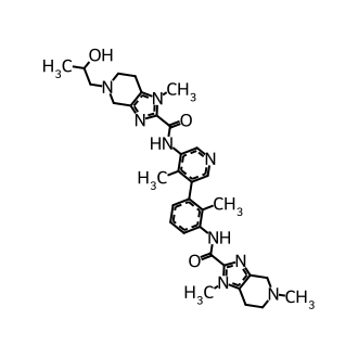 Cc1c(NC(=O)c2nc3c(n2C)CCN(C)C3)cccc1-c1cncc(NC(=O)c2nc3c(n2C)CCN(CC(C)O)C3)c1C